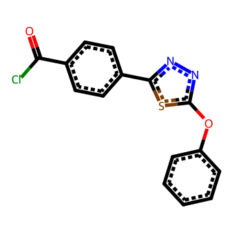 O=C(Cl)c1ccc(-c2nnc(Oc3ccccc3)s2)cc1